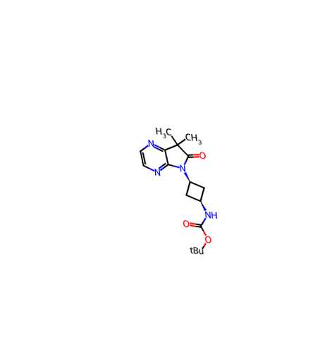 CC(C)(C)OC(=O)N[C@H]1C[C@@H](N2C(=O)C(C)(C)c3nccnc32)C1